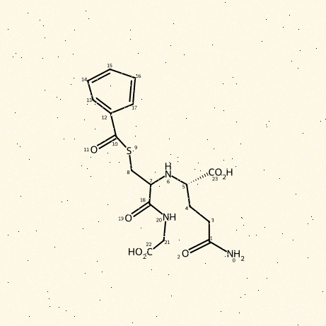 NC(=O)CC[C@H](NC(CSC(=O)c1ccccc1)C(=O)NCC(=O)O)C(=O)O